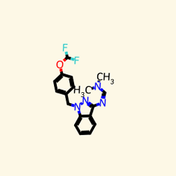 CN(C)/C=N\c1nn(Cc2ccc(OC(F)F)cc2)c2ccccc12